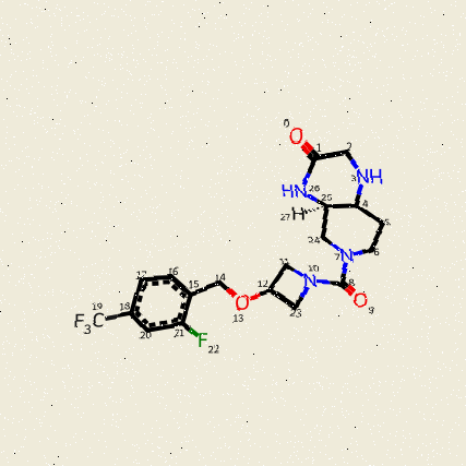 O=C1CNC2CCN(C(=O)N3CC(OCc4ccc(C(F)(F)F)cc4F)C3)C[C@H]2N1